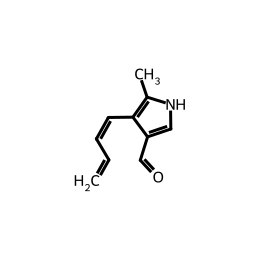 C=C/C=C\c1c(C=O)c[nH]c1C